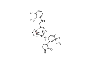 Cc1c(Cl)cccc1NCC(=O)N1C2CCC(C1C(=O)NC(C=C(F)S(C)(=O)=O)CC1CCNC1=O)C(F)(F)C2